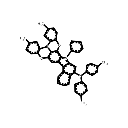 Cc1ccc(N(c2ccc(C)cc2)c2cc3c(c4ccccc24)c2cc4c5c(c2n3-c2ccccc2)Oc2ccc(C)cc2B5c2cc(C)ccc2O4)cc1